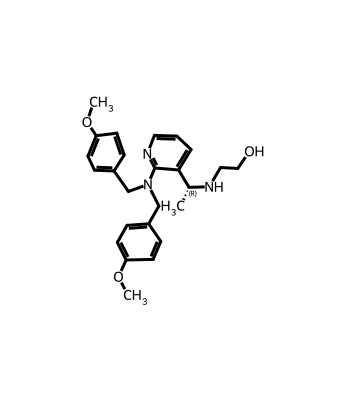 COc1ccc(CN(Cc2ccc(OC)cc2)c2ncccc2[C@@H](C)NCCO)cc1